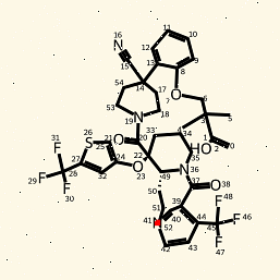 C=C(O)C(C)(C)COc1ccccc1C1(C#N)CCN(C(=O)[C@]2(Oc3csc(C(F)(F)F)c3)CCCN(C(=O)c3cnccc3C(F)(F)F)[C@@H]2CCC)CC1